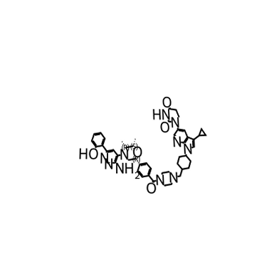 C[C@@H]1O[C@H](c2ccc(C(=O)N3CCN(CC4CCC(n5cc(C6CC6)c6cc(N7CCC(=O)NC7=O)cnc65)CC4)CC3)cc2)CN(c2cc(-c3ccccc3O)nnc2N)[C@@H]1C